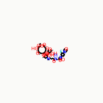 CC[C@H]1OC(=O)[C@H](C)[C@@H](O[C@H]2C[C@@](C)(OC)[C@@H](O)[C@H](C)O2)C[C@@H](O[C@@H]2O[C@H](C)C[C@H](N(C)CCCC(=O)NC[C@H]3CN(c4ccc(N5CCOCC5)c(F)c4)C(=O)O3)[C@H]2O)[C@](C)(O)C[C@@H](C)C(=O)[C@H](C)[C@@H](O)[C@]1(C)O